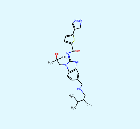 CC(C)C(C)CNCc1ccc2c(c1)[nH]/c(=N\C(=O)c1ccc(C3=CN=NC3)s1)n2CC(C)(C)O